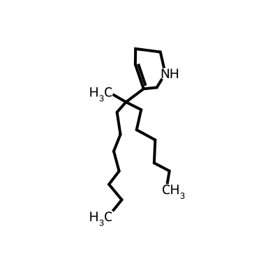 CCCCCCCC(C)(CCCCCC)C1=CCCNC1